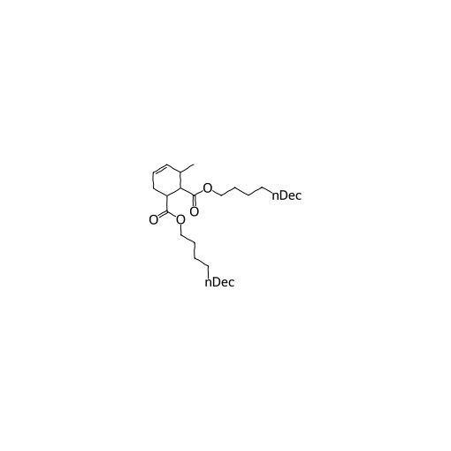 CCCCCCCCCCCCCCOC(=O)C1CC=CC(C)C1C(=O)OCCCCCCCCCCCCCC